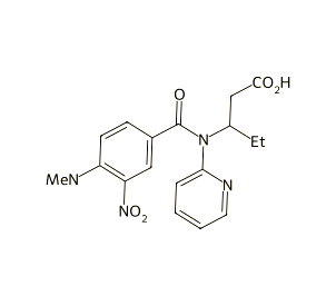 CCC(CC(=O)O)N(C(=O)c1ccc(NC)c([N+](=O)[O-])c1)c1ccccn1